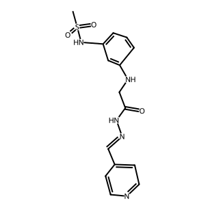 CS(=O)(=O)Nc1cccc(NCC(=O)N/N=C/c2ccncc2)c1